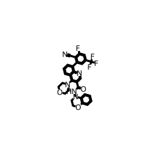 N#Cc1c(F)cc(C(F)(F)F)cc1-c1cccc2c(N3CCOCC3)c(C(=O)NN3CCOc4ccccc43)cnc12